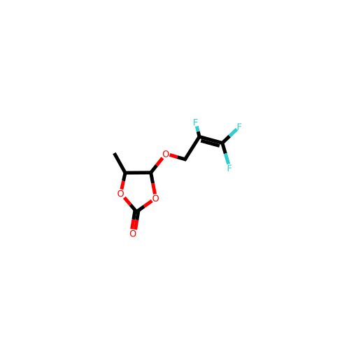 CC1OC(=O)OC1OCC(F)=C(F)F